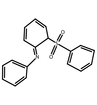 O=S(=O)(c1ccccc1)C1C=CC=CC1=Nc1ccccc1